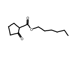 CCCCCCOC(=O)C1CCCC1=O